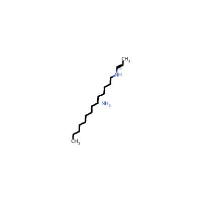 C/C=C/NCCCCCCCCCCCCCC.N